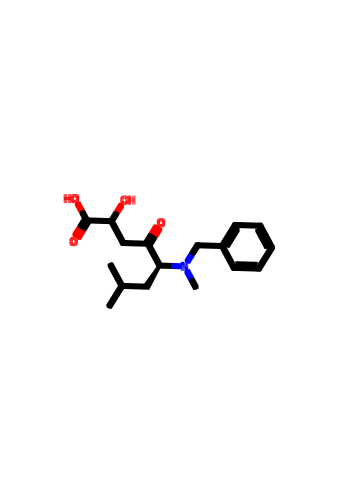 CC(C)C[C@@H](C(=O)CC(O)C(=O)O)N(C)Cc1ccccc1